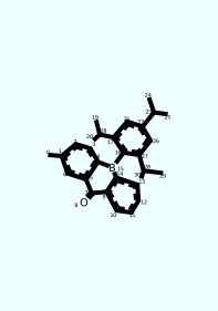 Cc1ccc2c(c1)C(=O)c1ccccc1B2c1c(C(C)C)cc(C(C)C)cc1C(C)C